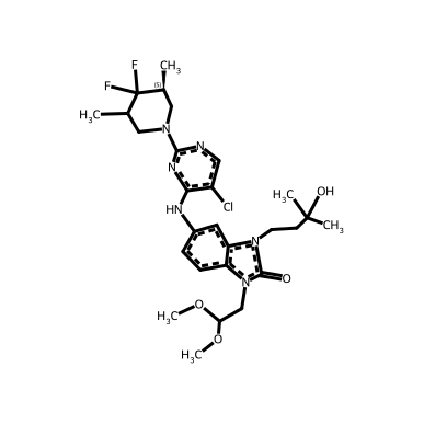 COC(Cn1c(=O)n(CCC(C)(C)O)c2cc(Nc3nc(N4CC(C)C(F)(F)[C@@H](C)C4)ncc3Cl)ccc21)OC